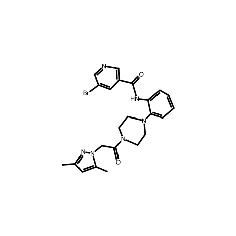 Cc1cc(C)n(CC(=O)N2CCN(c3ccccc3NC(=O)c3cncc(Br)c3)CC2)n1